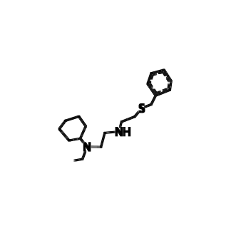 CCN(CCNCCSCc1ccccc1)C1CCCCC1